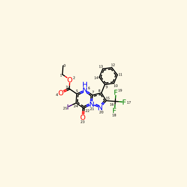 CCOC(=O)c1[nH]c2c(-c3ccccc3)c(C(F)(F)F)nn2c(=O)c1I